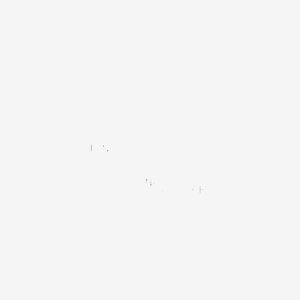 Nc1cccc([CH]C(F)(F)F)c1[N+](=O)[O-]